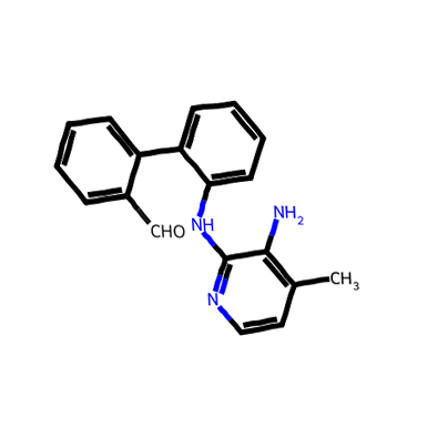 Cc1ccnc(Nc2ccccc2-c2ccccc2C=O)c1N